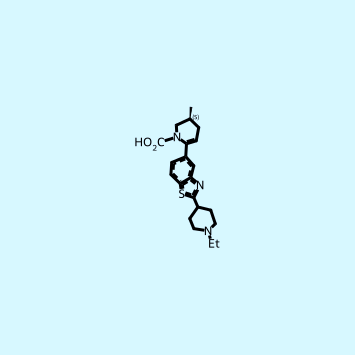 CCN1CCC(c2nc3cc(C4=CC[C@H](C)CN4C(=O)O)ccc3s2)CC1